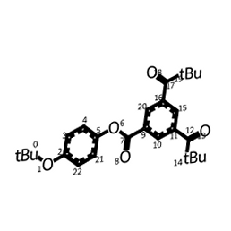 CC(C)(C)Oc1ccc(OC(=O)c2cc(C(=O)C(C)(C)C)cc(C(=O)C(C)(C)C)c2)cc1